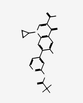 O=C(O)c1cn(C2CC2)c2cc(-c3ccnc(NC(=O)C(F)(F)F)c3)c(F)cc2c1=O